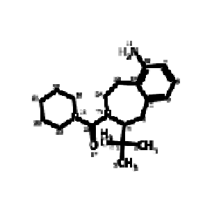 CC(C)(C)C1Cc2cccc(N)c2CCN1C(=O)N1CCCCC1